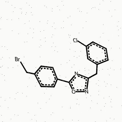 Clc1cccc(Cc2noc(-c3ccc(CBr)cc3)n2)c1